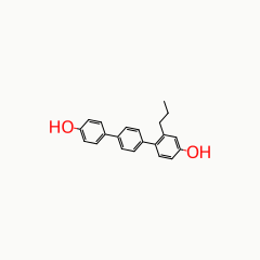 CCCc1cc(O)ccc1-c1ccc(-c2ccc(O)cc2)cc1